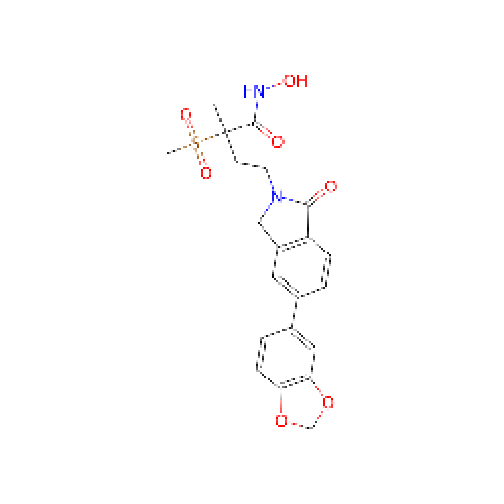 CC(CCN1Cc2cc(-c3ccc4c(c3)OCO4)ccc2C1=O)(C(=O)NO)S(C)(=O)=O